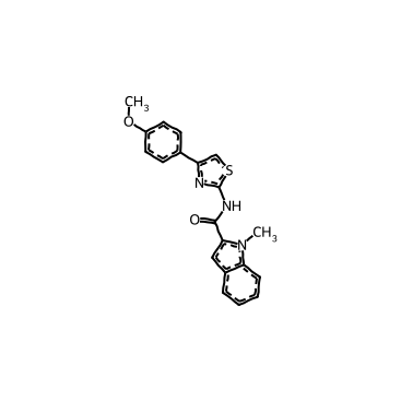 COc1ccc(-c2csc(NC(=O)c3cc4ccccc4n3C)n2)cc1